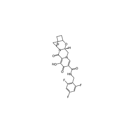 O=C(NCc1c(F)cc(F)cc1F)c1cn2c(c(O)c1=O)C(=O)N1[C@@H](C2)OC2CCC23C[C@@H]13